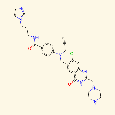 C#CCN(Cc1cc2c(=O)n(C)c(CN3CCN(C)CC3)nc2cc1Cl)c1ccc(C(=O)NCCCn2ccnc2)cc1